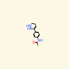 CC(=O)Nc1ccc(C2=CCCNN2)cc1